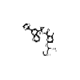 Cc1ccc(O[C@@H]([SiH3])[C@@H]2CCN2)cc1C(=O)NC1(c2cc(-c3ncco3)cc3ncccc23)CC1